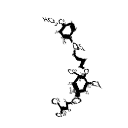 O=C(O)c1ccc(OCCCOc2c(Cl)cc(OCC=C(Cl)Cl)cc2Cl)cc1